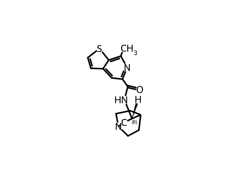 Cc1nc(C(=O)N[C@H]2CN3CCC2CC3)cc2ccsc12